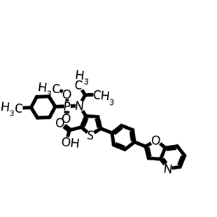 COP(=O)(C1CCC(C)CC1)N(c1cc(-c2ccc(-c3cc4ncccc4o3)cc2)sc1C(=O)O)C(C)C